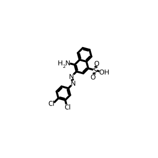 Nc1c(N=Nc2ccc(Cl)c(Cl)c2)cc(S(=O)(=O)O)c2ccccc12